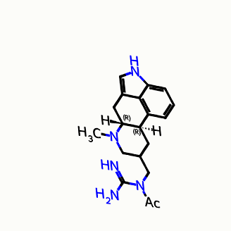 CC(=O)N(CC1C[C@@H]2c3cccc4[nH]cc(c34)C[C@H]2N(C)C1)C(=N)N